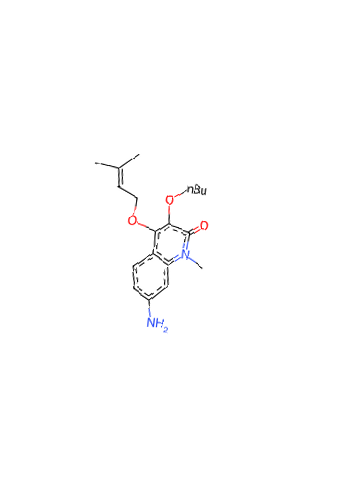 CCCCOc1c(OCC=C(C)C)c2ccc(N)cc2n(C)c1=O